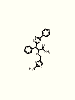 NC(=O)C(NCc1csc(N)n1)C(c1ccccc1)c1nnc(-c2ccncc2)s1